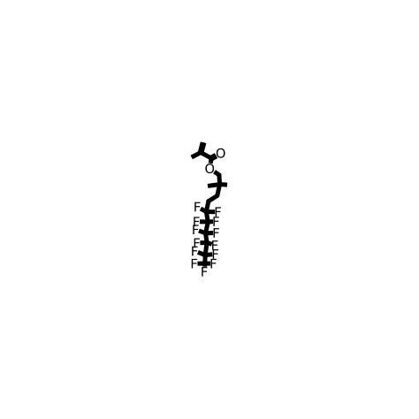 C=C(C)C(=O)OCC(C)(C)CCC(F)(F)C(F)(F)C(F)(F)C(F)(F)C(F)(F)C(F)(F)F